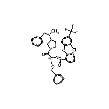 CN(Cc1ccccc1)C1CCN(C(=O)[C@@H](COCc2ccccc2)NC(=O)c2cccnc2Oc2ccc(C(F)(F)F)cc2Cl)C1